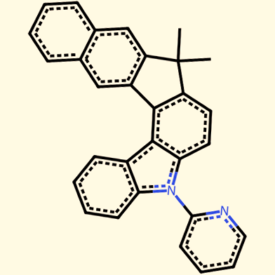 CC1(C)c2cc3ccccc3cc2-c2c1ccc1c2c2ccccc2n1-c1ccccn1